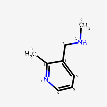 CNCc1cccnc1C